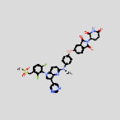 CCCS(=O)(=O)Cc1ccc(F)c(-n2cc(-c3cncnc3)c3nc(N(C)c4ccc(Bc5ccc6c(c5)C(=O)N(C5CCC(=O)NC5=O)C6=O)cc4)ccc32)c1F